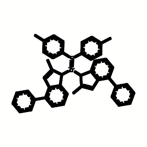 CC1=Cc2c(-c3ccccc3)cccc2[CH]1[Zr]([CH]1C(C)=Cc2c(-c3ccccc3)cccc21)=[Si](c1ccc(C)cc1)c1ccc(C)cc1